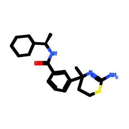 C[C@@H](NC(=O)c1cccc(C2(C)CCSC(N)=N2)c1)C1CCCCC1